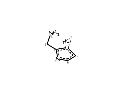 Cl.NCc1ncco1